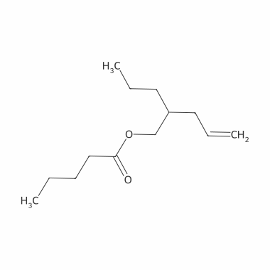 C=CCC(CCC)COC(=O)CCCC